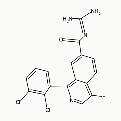 NC(N)=NC(=O)c1ccc2c(F)cnc(-c3cccc(Cl)c3Cl)c2c1